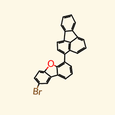 Brc1ccc2oc3c(-c4ccc5c6c(cccc46)-c4ccccc4-5)cccc3c2c1